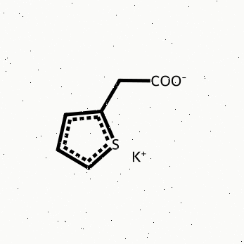 O=C([O-])Cc1cccs1.[K+]